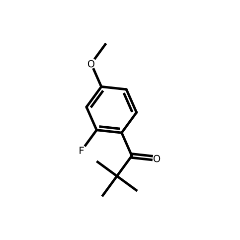 COc1ccc(C(=O)C(C)(C)C)c(F)c1